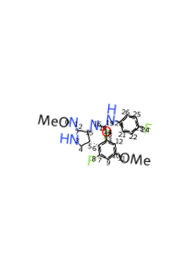 CO/N=C1\NC[C@@H](c2c(F)cc(OC)cc2F)\C1=N/C(=O)Nc1ccc(F)cc1